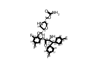 NC(=O)OC[C@@H]1CO[C@H](COc2c(F)cc(F)cc2NC(=O)[C@@H](N)C(c2ccc(F)cc2)c2ccc(F)cc2)CN1